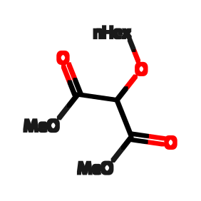 CCCCCCOC(C(=O)OC)C(=O)OC